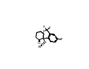 [N-]=[N+]=NC1(c2ccc(F)cc2C(F)(F)F)CCCCC1=O